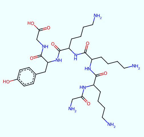 NCCCCC(NC(=O)CN)C(=O)NC(CCCCN)C(=O)NC(CCCCN)C(=O)NC(Cc1ccc(O)cc1)C(=O)NCC(=O)O